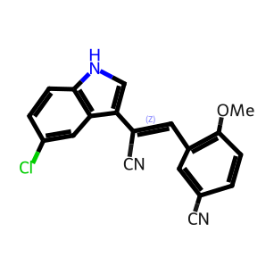 COc1ccc(C#N)cc1/C=C(\C#N)c1c[nH]c2ccc(Cl)cc12